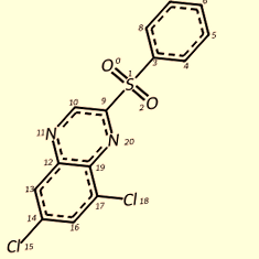 O=S(=O)(c1ccccc1)c1cnc2cc(Cl)cc(Cl)c2n1